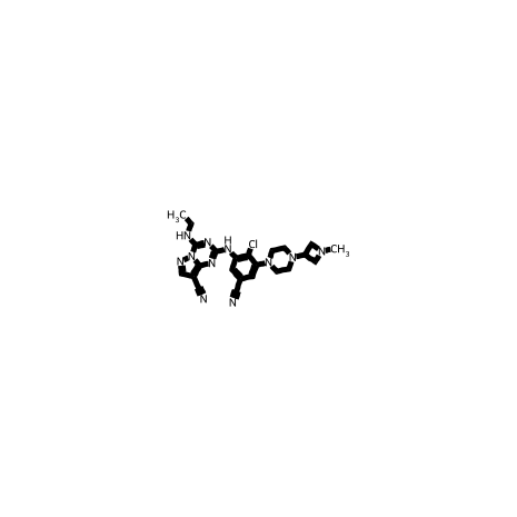 CCNc1nc(Nc2cc(C#N)cc(N3CCN(C4CN(C)C4)CC3)c2Cl)nc2c(C#N)cnn12